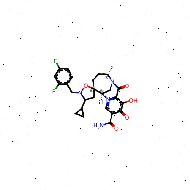 C[C@H]1CC[C@]2(CC(C3CC3)N(Cc3ccc(F)cc3F)O2)[C@H]2CN1C(=O)c1c(O)c(=O)c(C(N)=O)cn12